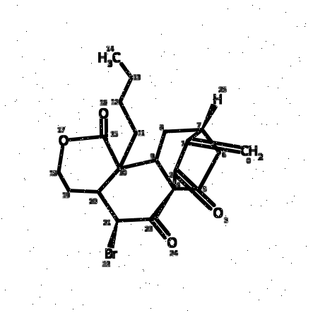 C=C1C(=O)[C@]23CC[C@H]1CC2C1(CCCC)C(=O)OCCC1[C@H](Br)C3=O